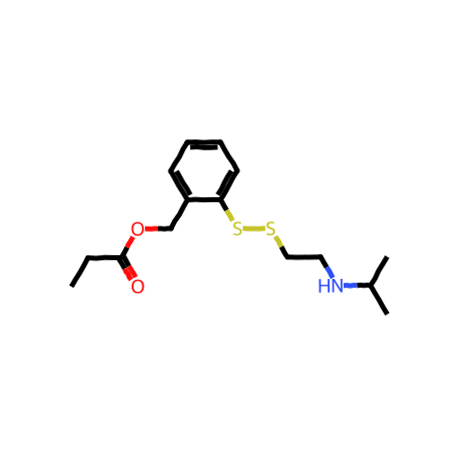 CCC(=O)OCc1ccccc1SSCCNC(C)C